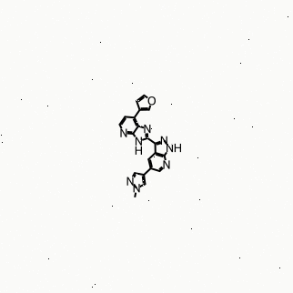 Cn1cc(-c2cnc3[nH]nc(-c4nc5c(-c6ccoc6)ccnc5[nH]4)c3c2)cn1